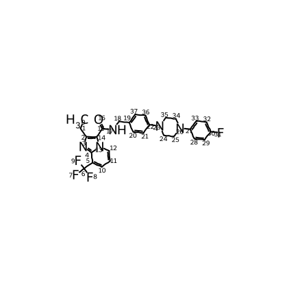 CCc1nc2c(C(F)(F)F)cccn2c1C(=O)NCc1ccc(N2CCN(c3ccc(F)cc3)CC2)cc1